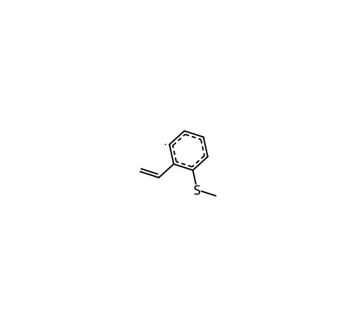 C=Cc1[c]cccc1SC